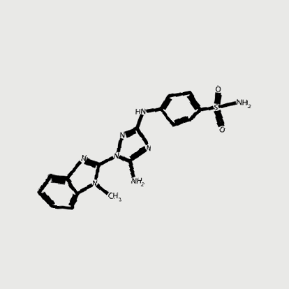 Cn1c(-n2nc(Nc3ccc(S(N)(=O)=O)cc3)nc2N)nc2ccccc21